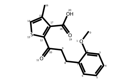 COc1ccccc1CCC(=O)c1scc(C)c1C(=O)O